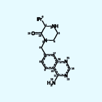 CC(C)C1NCCN(Cc2ccc3c(N)ncnc3c2)C1=O